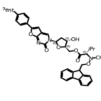 CCCCCc1ccc(-c2cc3cn([C@H]4C[C@H](O)[C@@H](COC(=O)[C@H](C(C)C)N(C=O)OCC5c6ccccc6-c6ccccc65)O4)c(=O)nc3o2)cc1